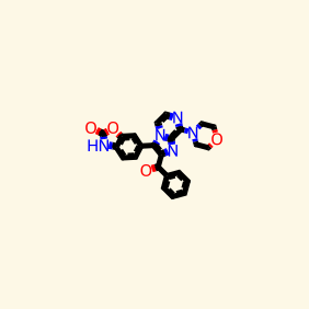 O=C(c1ccccc1)c1nc2c(N3CCOCC3)nccn2c1-c1ccc2[nH]c(=O)oc2c1